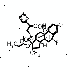 CCC(=O)O[C@]1(C(=O)SCC(=O)c2cccs2)[C@H](C)C[C@H]2[C@@H]3C[C@H](F)C4=CC(=O)C=C[C@]4(C)[C@@]3(F)[C@@H](O)C[C@@]21C